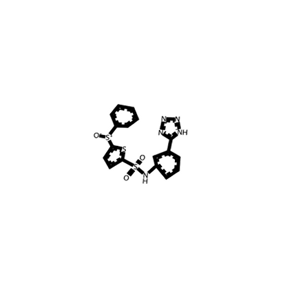 O=S(=O)(Nc1cccc(-c2nnn[nH]2)c1)c1ccc([S+]([O-])c2ccccc2)s1